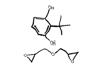 C(OCC1CO1)C1CO1.CC(C)(C)c1c(O)cccc1O